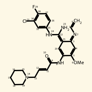 C=C/N=C1/C=C(OC)C(NC(=O)/C=C/CN2CCCCC2)=C/C1=C(/N)Nc1ccc(F)c(Cl)c1